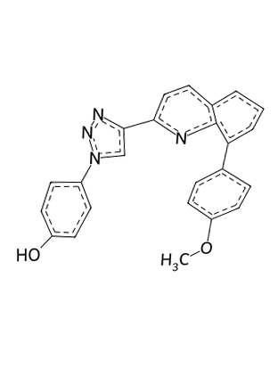 COc1ccc(-c2cccc3ccc(-c4cn(-c5ccc(O)cc5)nn4)nc23)cc1